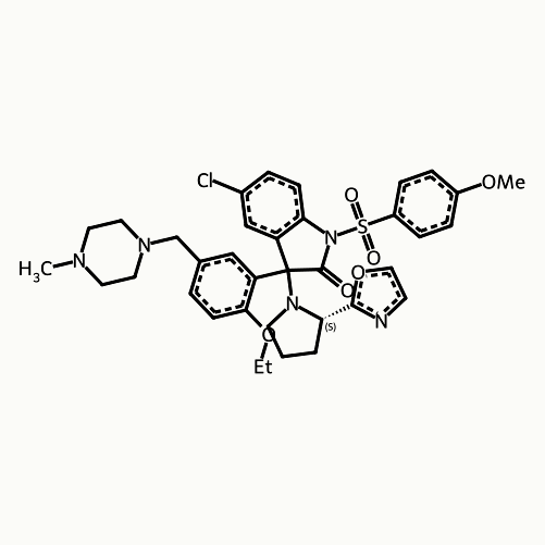 CCOc1ccc(CN2CCN(C)CC2)cc1C1(N2CCC[C@H]2c2ncco2)C(=O)N(S(=O)(=O)c2ccc(OC)cc2)c2ccc(Cl)cc21